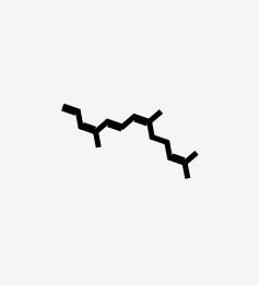 C=CC=C(C)C=CC=C(C)CCC=C(C)C